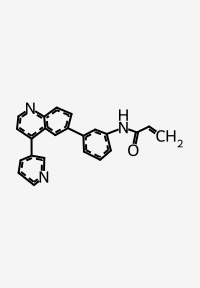 C=CC(=O)Nc1cccc(-c2ccc3nccc(-c4cccnc4)c3c2)c1